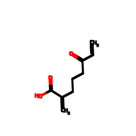 C=CC(=O)CCCC(=C)C(=O)O